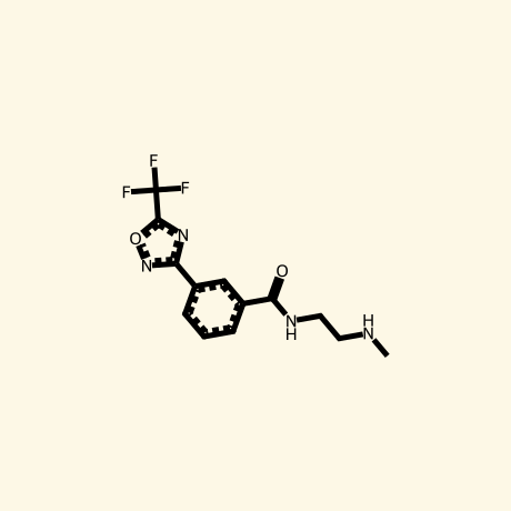 CNCCNC(=O)c1cccc(-c2noc(C(F)(F)F)n2)c1